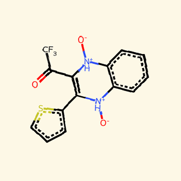 O=C(C1=C(c2cccs2)[NH+]([O-])c2ccccc2[NH+]1[O-])C(F)(F)F